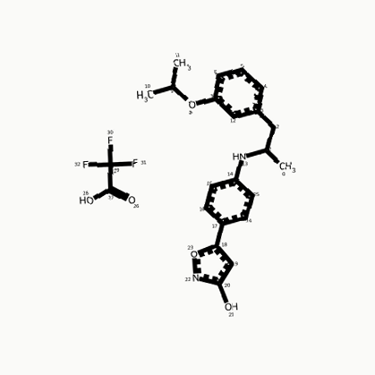 CC(Cc1cccc(OC(C)C)c1)Nc1ccc(-c2cc(O)no2)cc1.O=C(O)C(F)(F)F